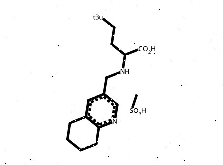 CC(C)(C)CCC(NCc1cnc2c(c1)CCCC2)C(=O)O.CS(=O)(=O)O